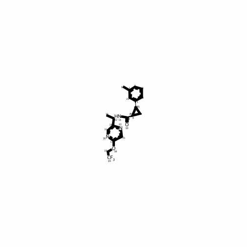 Cc1cccc([C@@H]2C[C@H]2C(=O)NC(C)c2cnc(OCC(F)(F)F)cn2)c1